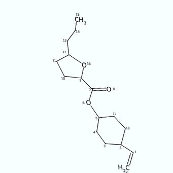 C=CC1CCC(OC(=O)C2CCC(CCC)O2)CC1